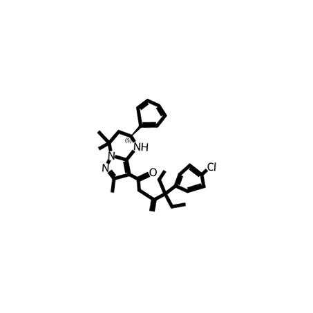 C=C(CC(=O)c1c(C)nn2c1N[C@H](c1ccccc1)CC2(C)C)C(CC)(CC)c1ccc(Cl)cc1